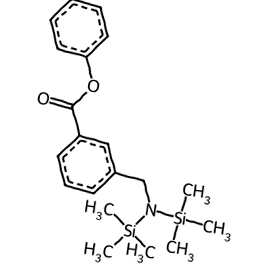 C[Si](C)(C)N(Cc1cccc(C(=O)Oc2ccccc2)c1)[Si](C)(C)C